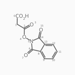 O=C(O)CC(=O)ON1C(=O)c2ccccc2C1=O